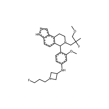 COCC(C)(F)CN1CCc2c(ccc3[nH]ncc23)C1c1ccc(NC2CN(CCCF)C2)cc1OC